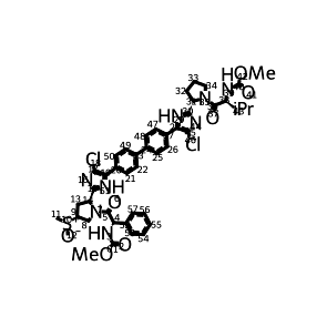 COC(=O)N[C@H](C(=O)N1C[C@@H]([S+](C)[O-])C[C@H]1c1nc(Cl)c(-c2ccc(-c3ccc(-c4[nH]c([C@@H]5CCCN5C(=O)[C@@H](NC(=O)OC)C(C)C)nc4Cl)cc3)cc2)[nH]1)c1ccccc1